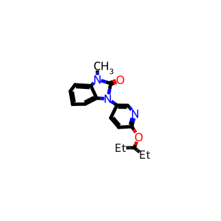 CCC(CC)Oc1ccc(-n2c(=O)n(C)c3ccccc32)cn1